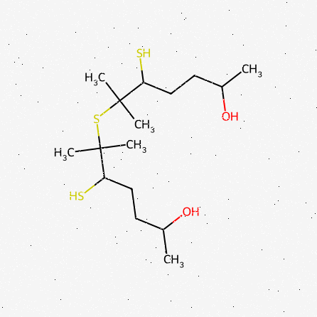 CC(O)CCC(S)C(C)(C)SC(C)(C)C(S)CCC(C)O